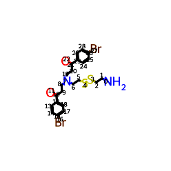 NCCSSCCN(CCC(=O)c1ccc(Br)cc1)CCC(=O)c1ccc(Br)cc1